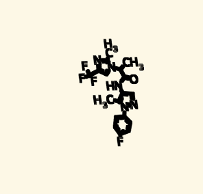 Cc1nc(C(F)(F)F)cn1C(C)C(=O)Nc1cnn(-c2ccc(F)cc2)c1C